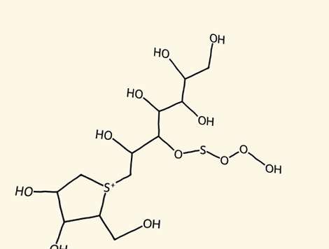 OCC(O)C(O)C(O)C(OSOOO)C(O)C[S+]1CC(O)C(O)C1CO